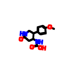 COc1ccc(C2CNC(=O)CC2NC(=O)O)cc1